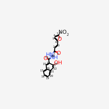 O=C(/C=C/c1ccc([N+](=O)[O-])o1)NNC(=O)c1cc2ccccc2cc1O